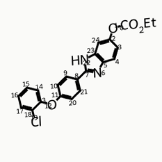 CCOC(=O)Oc1ccc2nc(-c3ccc(Oc4ccccc4Cl)cc3)[nH]c2c1